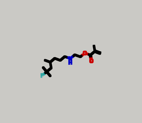 C=C(C)C(=O)OCCNCCCC(C)CC(C)(C)F